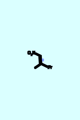 C/C(=C\[N+](=O)[O-])C(C)C